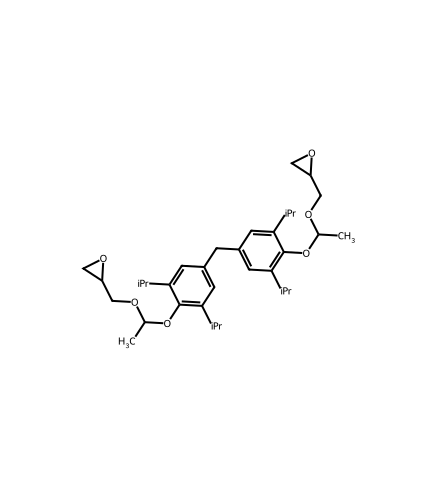 CC(OCC1CO1)Oc1c(C(C)C)cc(Cc2cc(C(C)C)c(OC(C)OCC3CO3)c(C(C)C)c2)cc1C(C)C